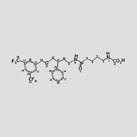 O=C(O)NCCCCC(=O)NCCC(COCc1cc(C(F)(F)F)cc(C(F)(F)F)c1)c1ccccc1